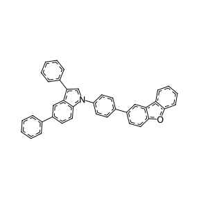 c1ccc(-c2ccc3c(c2)c(-c2ccccc2)cn3-c2ccc(-c3ccc4oc5ccccc5c4c3)cc2)cc1